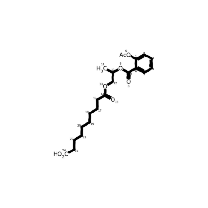 CC(=O)Oc1ccccc1C(=O)OC(C)COC(=O)CCCCCCCCC(=O)O